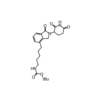 CC(C)(C)OC(=O)NCCCCCc1cccc2c1CN(C1CCC(=O)NC1=O)C2=O